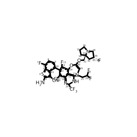 N#Cc1c(N)sc2c(F)ccc(-c3c(F)c4c5c(c3Cl)=NC(C(F)(F)F)NC=5N(CC(F)F)C=C(OC[C@@]35CCCN3C[C@H](F)C5)O4)c12